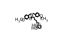 COc1ccc(CN(Cc2ccc(OC)cc2)C(=O)CCCCCN2CCCS2(O)O)cc1